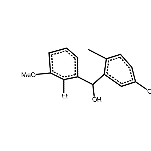 CCc1c(OC)cccc1C(O)c1cc(Cl)ccc1C